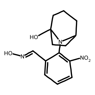 O=[N+]([O-])c1cccc(C=NO)c1N1C2CCCC1(O)CC2